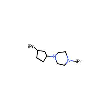 CC(C)C1CCC(N2CCN(C(C)C)CC2)C1